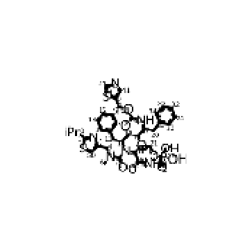 CC(C)c1nc(CN(C)C(=O)N([C@@H](Cc2ccccc2)C[C@H](OCOP(=O)(O)O)[C@H](Cc2ccccc2)NC(=O)OCc2cncs2)[C@H](C(N)=O)C(C)C)cs1